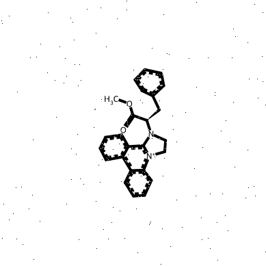 COC(=O)[C@@H](Cc1ccccc1)N1CC[n+]2c1c1ccccc1c1ccccc12